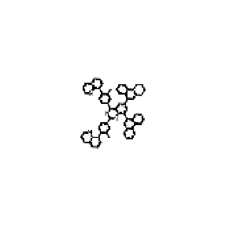 Cc1cc(-c2nc(-c3ccc(C4C=CC=C5C=CC=NC54)c(C)c3)nc3c(-c4cc5ccccc5c5ccccc45)cc(-c4cc5c(c6ccccc46)CCCC5)cc23)ccc1-c1cccc2cccnc12